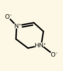 [O-][N+]1=CC[NH+]([O-])CC1